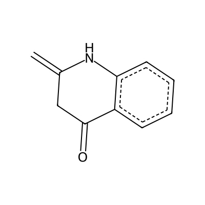 C=C1CC(=O)c2ccccc2N1